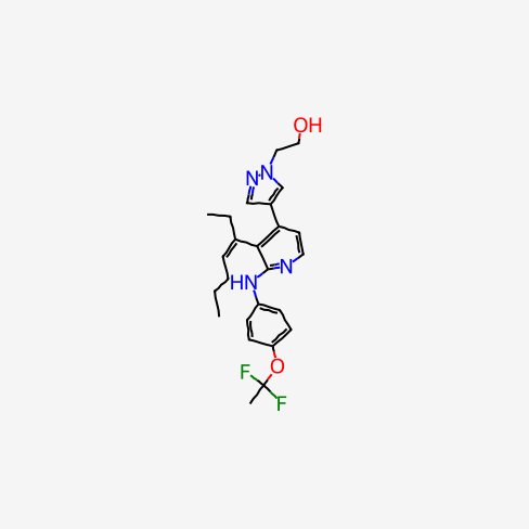 CCC/C=C(/CC)c1c(-c2cnn(CCO)c2)ccnc1Nc1ccc(OC(C)(F)F)cc1